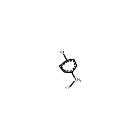 CCC[SiH2]c1ccc(O)cc1